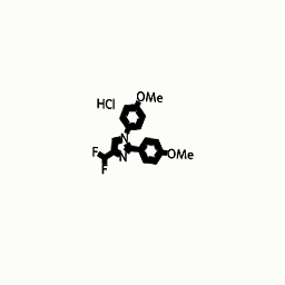 COc1ccc(-c2nc(C(F)F)cn2-c2ccc(OC)cc2)cc1.Cl